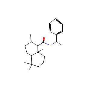 CC(NC(=O)C1C(C)CCC2C(C)(C)CCCC12C)c1ccccc1